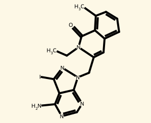 CCn1c(Cn2nc(I)c3c(N)ncnc32)cc2cccc(C)c2c1=O